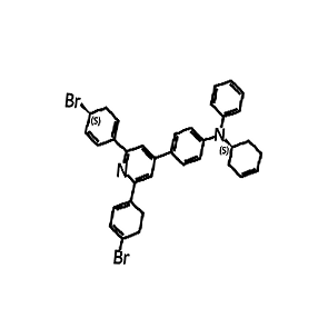 BrC1=CC=C(c2cc(-c3ccc(N(c4ccccc4)[C@@H]4CC=CCC4)cc3)cc(C3=CC[C@H](Br)C=C3)n2)CC1